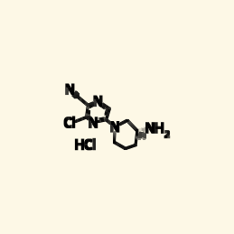 Cl.N#Cc1ncc(N2CCC[C@@H](N)C2)nc1Cl